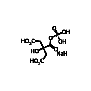 O=C(O)CC(O)(CC(=O)O)C(=O)OP(=O)(O)O.[NaH]